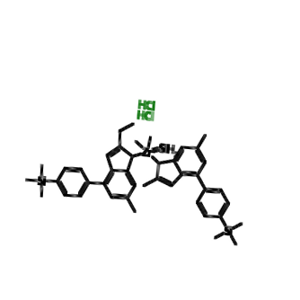 CCC1=Cc2c(-c3ccc([Si](C)(C)C)cc3)cc(C)cc2[CH]1[Zr]([CH3])([CH3])(=[SiH2])[CH]1C(C)=Cc2c(-c3ccc([Si](C)(C)C)cc3)cc(C)cc21.Cl.Cl